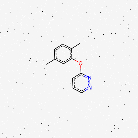 Cc1ccc(C)c(Oc2cc[c]nn2)c1